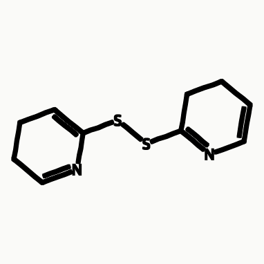 C1=CN=C(SSC2=CCCC=N2)CC1